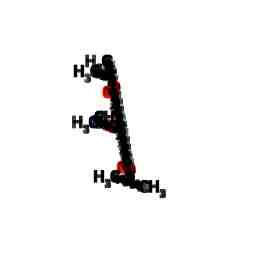 CCCCC(CCCC)CCOC(=O)CCCCCCCCCC(CCCCCCCCCC(=O)OCCC(CCCC)CCCC)COCCCN(C)C